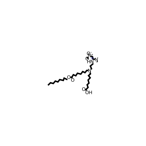 CCCCCCCCCOC(=O)CCCCCCCN(CCCCCCCC(=O)O)CCCN/C(=C\[N+](=O)[O-])N(C)C